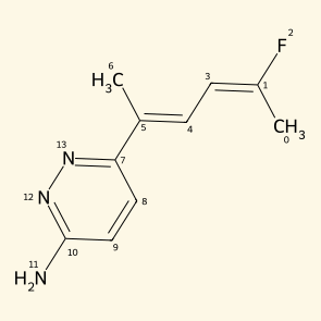 C/C(F)=C\C=C(/C)c1ccc(N)nn1